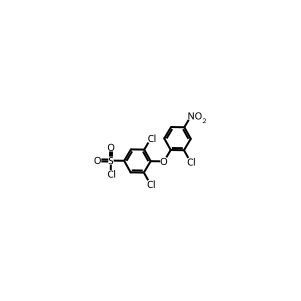 O=[N+]([O-])c1ccc(Oc2c(Cl)cc(S(=O)(=O)Cl)cc2Cl)c(Cl)c1